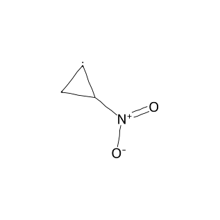 O=[N+]([O-])C1[CH]C1